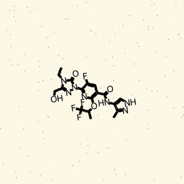 CCn1c(CO)nn(-c2nc(OC(C)C(F)(F)F)c(C(=O)Nc3c[nH]nc3C)cc2F)c1=O